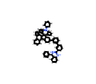 c1ccc(C2NC(c3cccc(-c4cccc(-c5ccc6c(c5)C5(c7ccccc7N(c7ccccc7)c7ccccc75)c5c-6c6ccccc6c6ccccc56)c4)c3)Nc3ccccc32)cc1